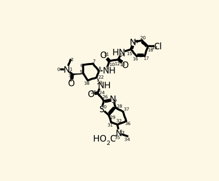 CN(C)C(=O)[C@H]1CC[C@H](NC(=O)C(=O)Nc2ccc(Cl)cn2)[C@H](NC(=O)c2nc3c(s2)CC(N(C)C(=O)O)CC3)C1